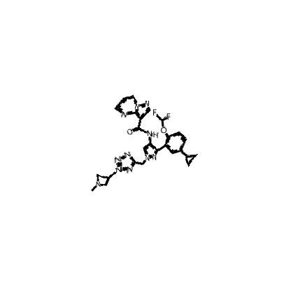 CN1CC(n2nnc(Cn3cc(NC(=O)c4cnn5cccnc45)c(-c4cc(C5CC5)ccc4OC(F)F)n3)n2)C1